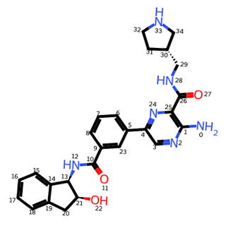 Nc1ncc(-c2cccc(C(=O)N[C@@H]3c4ccccc4C[C@@H]3O)c2)nc1C(=O)NC[C@@H]1CCNC1